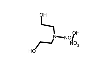 O=[N+]([O-])N(CCO)CCO.O=[N+]([O-])O